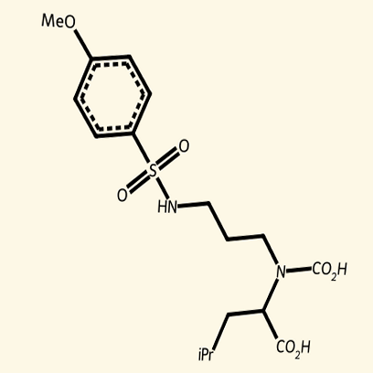 COc1ccc(S(=O)(=O)NCCCN(C(=O)O)C(CC(C)C)C(=O)O)cc1